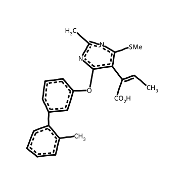 CC=C(C(=O)O)c1c(Oc2cccc(-c3ccccc3C)c2)nc(C)nc1SC